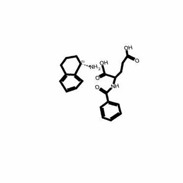 N[C@H]1CCCc2ccccc21.O=C(O)CCC(NC(=O)c1ccccc1)C(=O)O